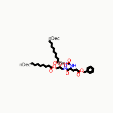 CCCCCCCCCCCCCCCCCCC(=O)OC(CNC(=O)C(CCC(=O)OCc1ccccc1)NC(=O)OC(C)(C)C)COC(=O)CCCCCCCCCCCCCCCCC